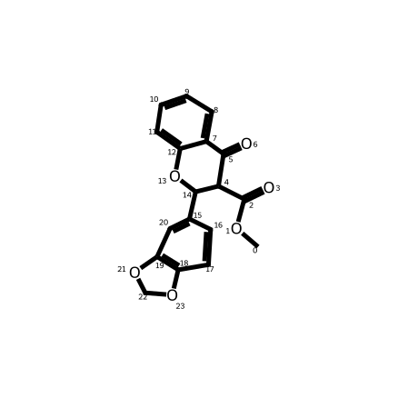 COC(=O)C1C(=O)c2ccccc2OC1c1ccc2c(c1)OCO2